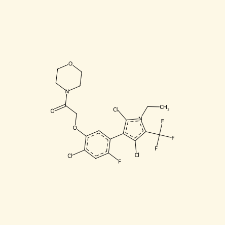 CCn1c(Cl)c(-c2cc(OCC(=O)N3CCOCC3)c(Cl)cc2F)c(Cl)c1C(F)(F)F